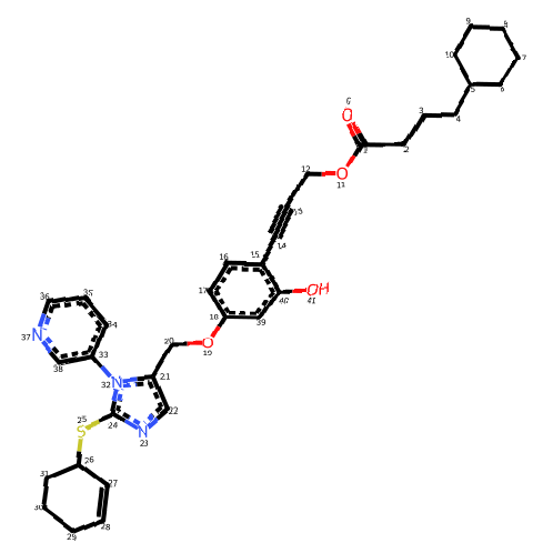 O=C(CCCC1CCCCC1)OCC#Cc1ccc(OCc2cnc(SC3C=CCCC3)n2-c2cccnc2)cc1O